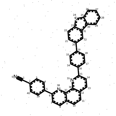 N#Cc1ccc(-c2ccc3ccc4ccc(-c5ccc(-c6ccc7sc8ccccc8c7c6)cc5)nc4c3n2)cc1